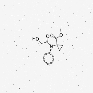 COC(=O)C1(N(C(=O)CO)c2ccccc2)CC1